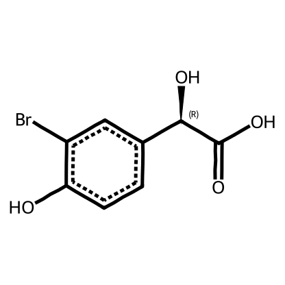 O=C(O)[C@H](O)c1ccc(O)c(Br)c1